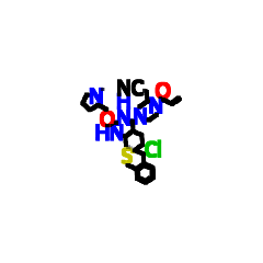 C=CC(=O)N1CCN(C2NC(OCC3CCCN3C)NC3C[C@@]4(CCC32)SCc2ccccc2C4Cl)CC1CC#N